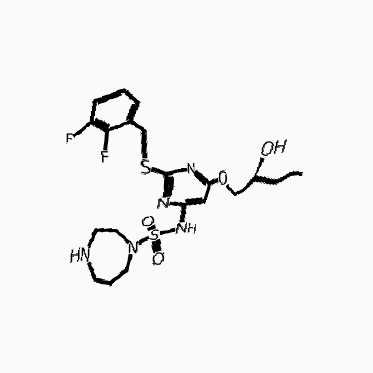 CC[C@H](O)COc1cc(NS(=O)(=O)N2CCCNCC2)nc(SCc2cccc(F)c2F)n1